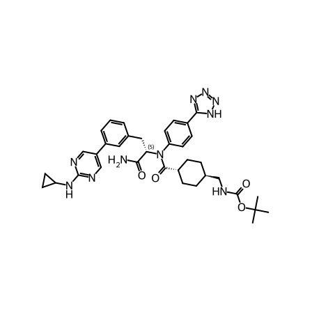 CC(C)(C)OC(=O)NC[C@H]1CC[C@H](C(=O)N(c2ccc(-c3nnn[nH]3)cc2)[C@@H](Cc2cccc(-c3cnc(NC4CC4)nc3)c2)C(N)=O)CC1